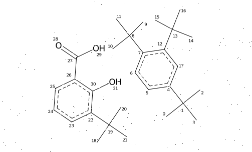 CC(C)(C)c1ccc(C(C)(C)C)c(C(C)(C)C)c1.CC(C)(C)c1cccc(C(=O)O)c1O